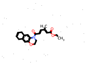 CCOC(=O)C=C(C)C=CC(=O)N1CCOc2cc3c(cc21)CC=CC3